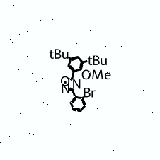 COc1c(-c2nc(-c3ccccc3Br)no2)cc(C(C)(C)C)cc1C(C)(C)C